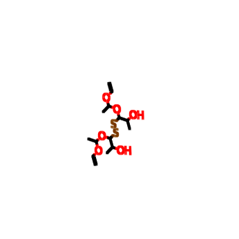 C=COC(C)OC(SSC(OC(C)OC=C)C(C)O)C(C)O